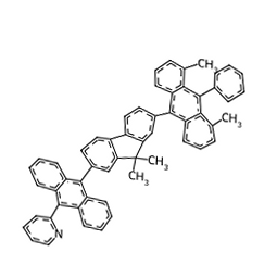 Cc1cccc2c(-c3ccc4c(c3)C(C)(C)c3cc(-c5c6ccccc6c(-c6ccccn6)c6ccccc56)ccc3-4)c3cccc(C)c3c(-c3ccccc3)c12